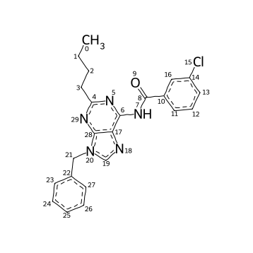 CCCCc1nc(NC(=O)c2cccc(Cl)c2)c2ncn(Cc3ccccc3)c2n1